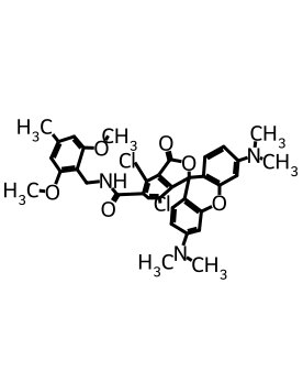 COc1cc(C)cc(OC)c1CNC(=O)c1cc(Cl)c2c(c1Cl)C(=O)OC21c2ccc(N(C)C)cc2Oc2cc(N(C)C)ccc21